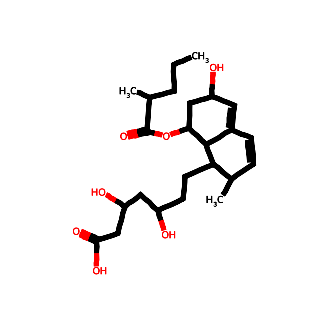 CCCC(C)C(=O)OC1CC(O)C=C2C=CC(C)C(CCC(O)CC(O)CC(=O)O)C21